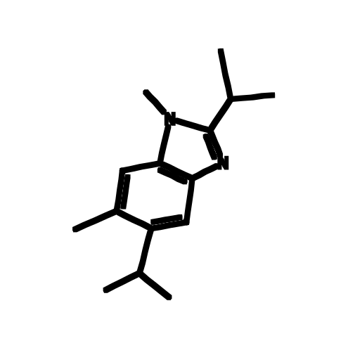 Cc1cc2c(cc1C(C)C)nc(C(C)C)n2C